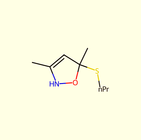 [CH2]CCSC1(C)C=C(C)NO1